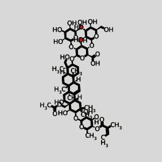 C/C=C(/C)C(=O)O[C@H]1[C@H](O)[C@@H](O)[C@H](O[C@H]2[C@H](O)[C@]3(COC(C)=O)[C@H](O)C[C@]4(C)C(=CC[C@@H]5[C@@]6(C)CC[C@H](O[C@@H]7O[C@H](C(=O)O)[C@@H](O[C@@H]8O[C@H](CO)[C@@H](O)[C@H](O)[C@H]8O)[C@H](O)[C@H]7O[C@@H]7O[C@H](CO)[C@@H](O)[C@H](O)[C@H]7O)[C@](C)(CO)[C@@H]6CC[C@]54C)[C@@H]3CC2(C)C)O[C@@H]1C